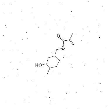 C=C(C)C(=O)OCC1CCC(C)C(O)C1